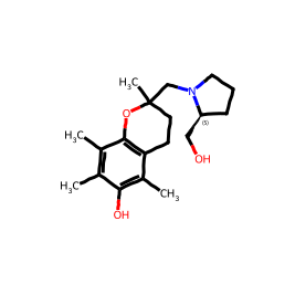 Cc1c(C)c2c(c(C)c1O)CCC(C)(CN1CCC[C@H]1CO)O2